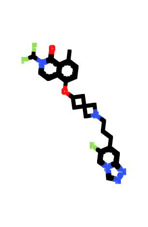 Cc1ccc(OC2CC3(C2)CN(CCCc2cc4nncn4cc2F)C3)c2ccn(C(F)F)c(=O)c12